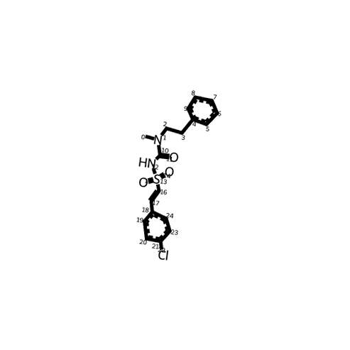 CN(CCc1ccccc1)C(=O)NS(=O)(=O)/C=C/c1ccc(Cl)cc1